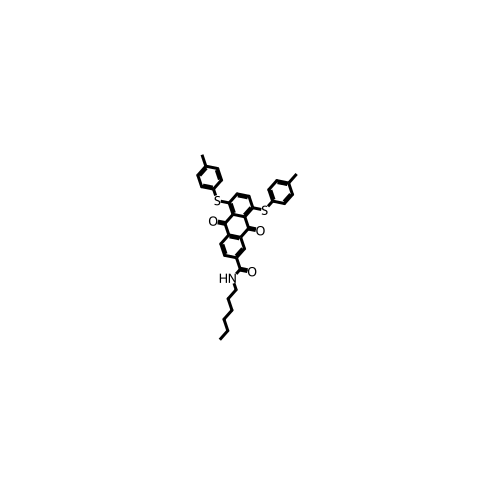 CCCCCCNC(=O)c1ccc2c(c1)C(=O)c1c(Sc3ccc(C)cc3)ccc(Sc3ccc(C)cc3)c1C2=O